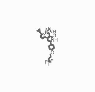 O=c1[nH]c(-c2ccc(OCCCC(F)(F)F)cc2)cc(-c2ccc(C3CC3)s2)c1-c1nnn[nH]1